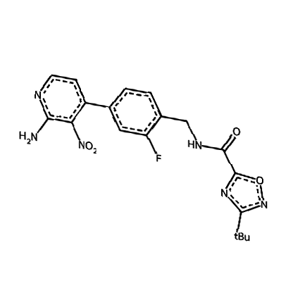 CC(C)(C)c1noc(C(=O)NCc2ccc(-c3ccnc(N)c3[N+](=O)[O-])cc2F)n1